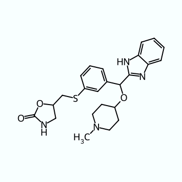 CN1CCC(OC(c2cccc(SCC3CNC(=O)O3)c2)c2nc3ccccc3[nH]2)CC1